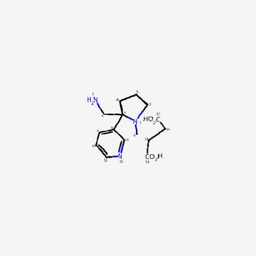 CN1CCCC1(CN)c1cccnc1.O=C(O)CCC(=O)O